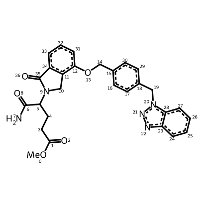 COC(=O)CCC(C(N)=O)N1Cc2c(OCc3ccc(Cn4nnc5ccccc54)cc3)cccc2C1=O